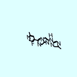 Cc1cnc(Nc2cn3cc(-c4cc(C)ncc4F)ncc3n2)cn1